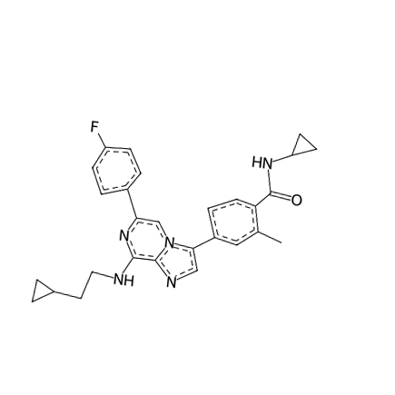 Cc1cc(-c2cnc3c(NCCC4CC4)nc(-c4ccc(F)cc4)cn23)ccc1C(=O)NC1CC1